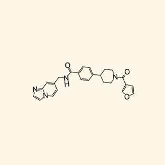 O=C(NCc1ccn2ccnc2c1)c1ccc(C2CCN(C(=O)c3ccoc3)CC2)cc1